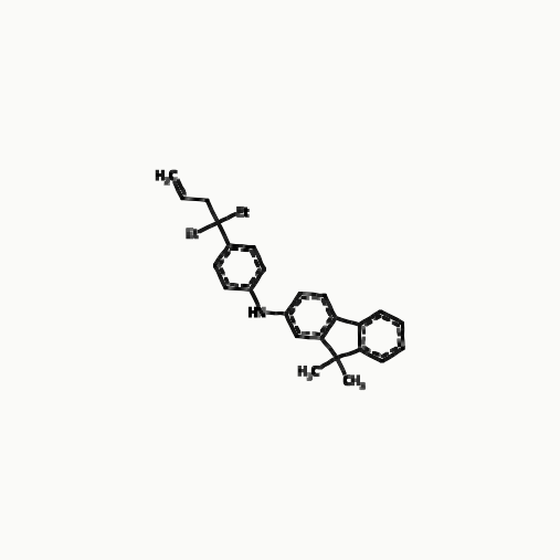 C=CCC(CC)(CC)c1ccc(Nc2ccc3c(c2)C(C)(C)c2ccccc2-3)cc1